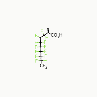 C=C(C(=O)O)C(F)(F)C(F)C(F)(F)C(F)(F)C(F)(F)C(F)(F)C(F)(F)C(F)(F)F